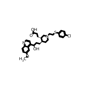 COc1ccc2nccc([C@H](O)CC[C@@H]3CCN(CCSc4ccc(Cl)cc4)C[C@H]3CCC(=O)O)c2c1